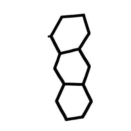 [CH]1CCCC2CC3CCCCC3CC12